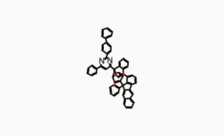 c1ccc(-c2ccc(-c3nc(-c4ccccc4)cc(-c4ccc(-c5cccc6c5C(c5ccccc5)(c5ccccc5)c5cc7ccccc7cc5-6)c5ccccc45)n3)cc2)cc1